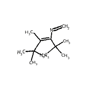 C=N/C(=C(\C)C(C)(C)C)C(C)(C)C